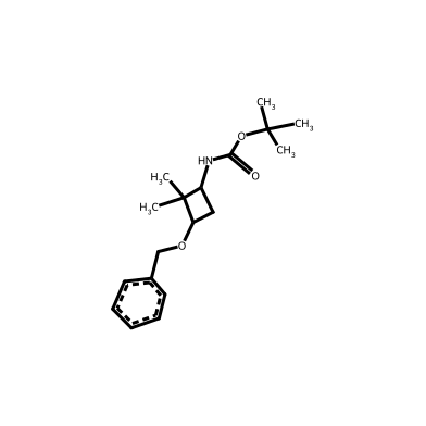 CC(C)(C)OC(=O)NC1CC(OCc2ccccc2)C1(C)C